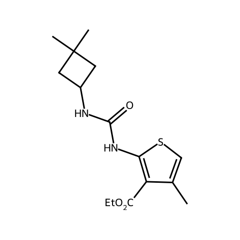 CCOC(=O)c1c(C)csc1NC(=O)NC1CC(C)(C)C1